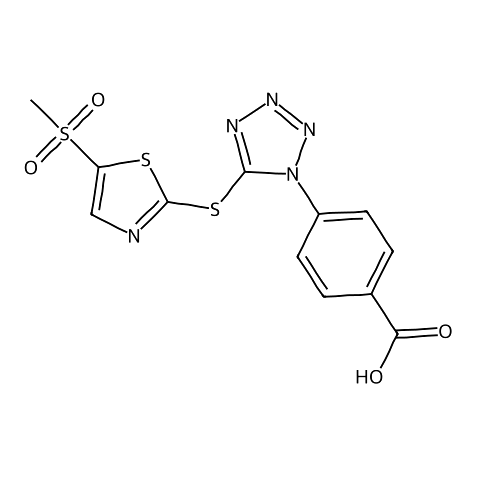 CS(=O)(=O)c1cnc(Sc2nnnn2-c2ccc(C(=O)O)cc2)s1